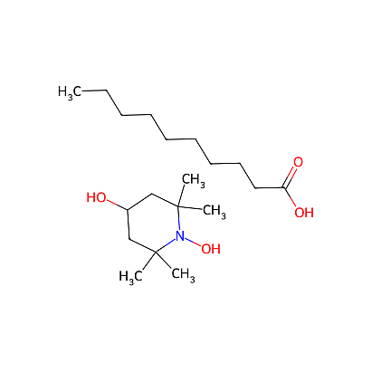 CC1(C)CC(O)CC(C)(C)N1O.CCCCCCCCCC(=O)O